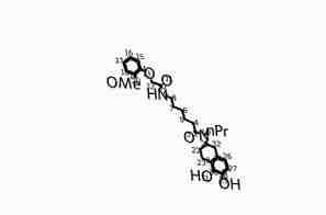 CCCN(C(=O)CCCCCNC(=O)COc1ccccc1OC)C1CCc2c(ccc(O)c2O)C1